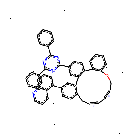 C1=C\COc2ccccc2-c2ccc(-c3nc(-c4ccccc4)nc(-c4ccccc4)n3)cc2-c2cc(-c3cccc4ncccc34)ccc2C\C=C/1